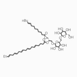 CC/C=C/C/C=C/C/C=C/C/C=C/C/C=C/CCCC(=O)O[C@H](COC(=O)CCCCCCC/C=C/CCCC)CO[C@H]1O[C@@H](CO[C@H]2O[C@@H](CO)[C@@H](O)C(O)C2O)[C@@H](O)C(O)C1O